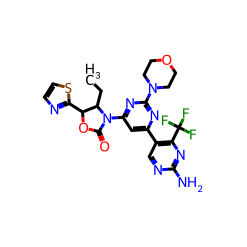 CCC1C(c2nccs2)OC(=O)N1c1cc(-c2cnc(N)nc2C(F)(F)F)nc(N2CCOCC2)n1